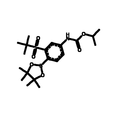 CC(C)OC(=O)Nc1ccc(B2OC(C)(C)C(C)(C)O2)c(S(=O)(=O)C(C)(C)C)c1